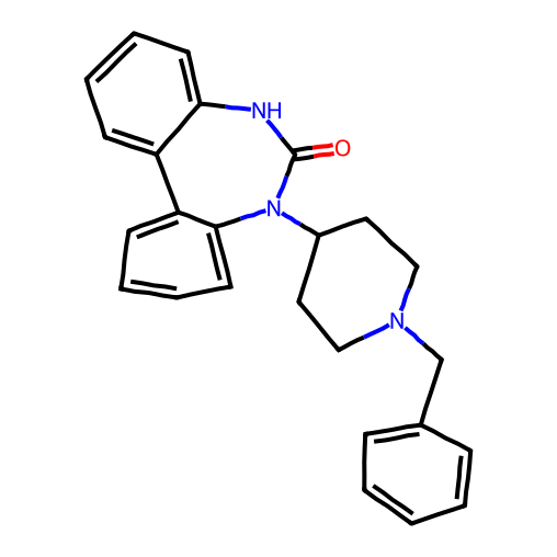 O=C1Nc2ccccc2-c2ccccc2N1C1CCN(Cc2ccccc2)CC1